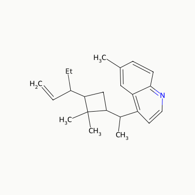 C=CC(CC)C1CC(C(C)c2ccnc3ccc(C)cc23)C1(C)C